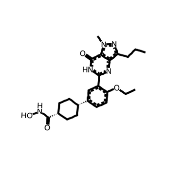 CCCc1nn(C)c2c(=O)[nH]c(-c3cc([C@H]4CC[C@@H](C(=O)NO)CC4)ccc3OCC)nc12